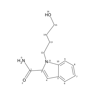 NC(=O)c1cc2ccccc2n1CCCCO